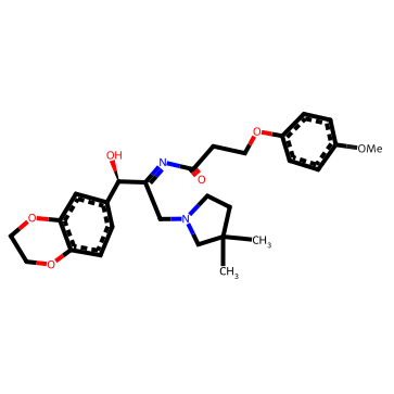 COc1ccc(OCCC(=O)/N=C(\CN2CCC(C)(C)C2)[C@H](O)c2ccc3c(c2)OCCO3)cc1